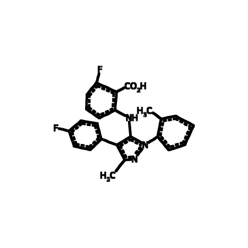 Cc1ccccc1-n1nc(C)c(-c2ccc(F)cc2)c1Nc1cccc(F)c1C(=O)O